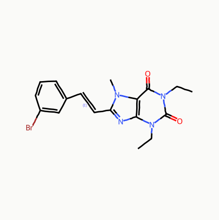 CCn1c(=O)c2c(nc(/C=C/c3cccc(Br)c3)n2C)n(CC)c1=O